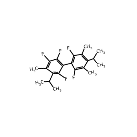 Cc1c(F)c(-c2c(F)c(F)c(C)c(C(C)C)c2F)c(F)c(C)c1C(C)C